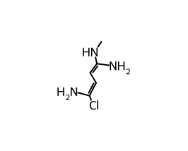 CN/C(N)=C/C=C(\N)Cl